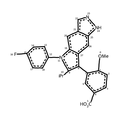 COc1ccc(C(=O)O)cc1-c1c(C(C)C)n(-c2ccc(F)cc2)c2cc3cn[nH]c3cc12